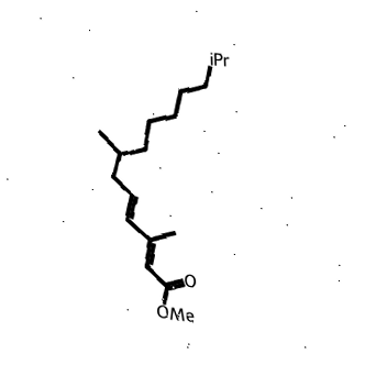 COC(=O)/C=C(C)/C=C/CC(C)CCCCCC(C)C